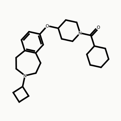 O=C(C1CCCCC1)N1CCC(Oc2ccc3c(c2)CCN(C2CCC2)CC3)CC1